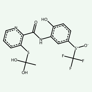 CC(O)(O)Sc1cccnc1C(=O)Nc1cc([S+]([O-])C(F)(F)F)ccc1O